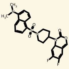 CN(C)c1cccc2c(S(=O)(=O)N3CCC(N4C(=O)OC=C5C=C(F)C(F)=CC54)CC3)cccc12